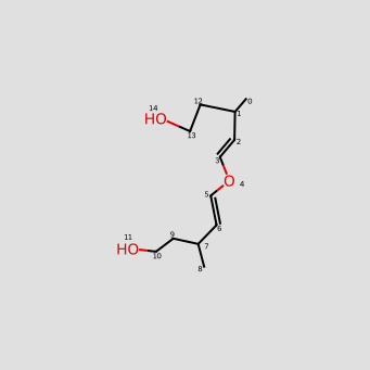 CC(C=COC=CC(C)CCO)CCO